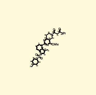 COc1nc(-c2cccc3c2c(C)cn3S(=O)(=O)c2ccc(C)cc2)nc2c1CN(C(=O)CC(=O)C(C)C)CC2